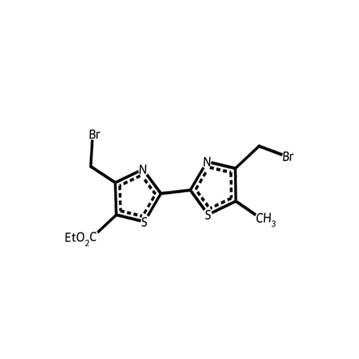 CCOC(=O)c1sc(-c2nc(CBr)c(C)s2)nc1CBr